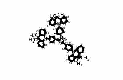 CC1(C)c2ccccc2N(c2ccc(-c3nc(-c4ccc(N5c6ccccc6C(C)(C)c6ccccc65)cc4)n(-c4ccc(N5c6ccccc6C(C)(C)c6ccccc65)cc4)n3)cc2)c2ccccc21